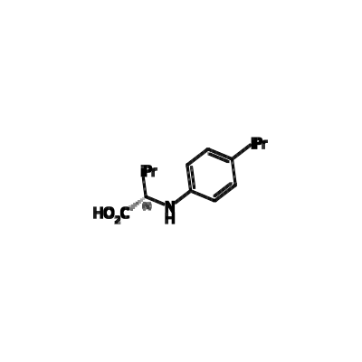 CC(C)c1ccc(N[C@H](C(=O)O)C(C)C)cc1